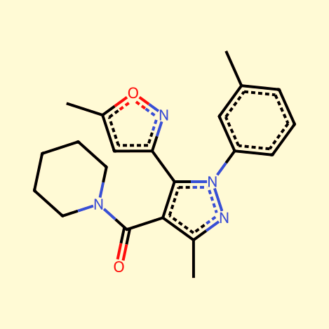 Cc1cccc(-n2nc(C)c(C(=O)N3CCCCC3)c2-c2cc(C)on2)c1